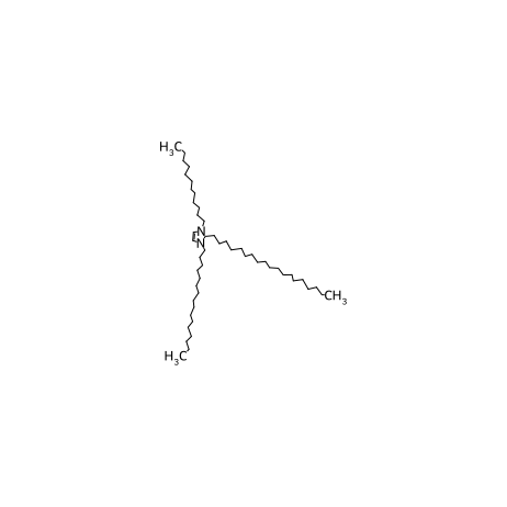 CCCCCCCCCCCCCCCCCCCC1N(CCCCCCCCCCCC)C=CN1CCCCCCCCCCCCCCCC